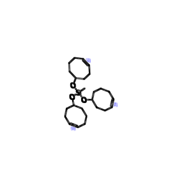 C[Si](OC1CC/C=C\CCC1)(OC1CC/C=C\CCC1)OC1CC/C=C\CCC1